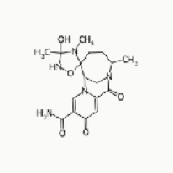 CC1CCC2(ONC(C)(O)N2C)C2CN1C(=O)c1cc(=O)c(C(N)=O)cn12